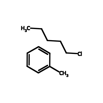 CCCCCCl.Cc1ccccc1